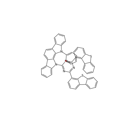 c1ccc(-n2c3ccccc3c3ccc4c5ccccc5n(-c5nc(-c6cccc7c6sc6ccccc67)nc(-c6cccc7sc8ccccc8c67)n5)c4c32)cc1